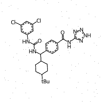 CC(C)(C)C1CCC(C(NC(=O)Nc2cc(Cl)cc(Cl)c2)c2ccc(C(=O)Nc3nn[nH]n3)cc2)CC1